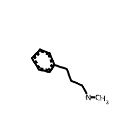 C[N]CCCc1ccccc1